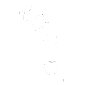 CCc1cc2c(nc1N1CCC(Oc3cncc(C)c3)CC1)CNC2=O